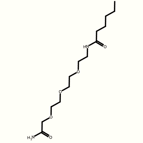 CCCCCC(=O)NCCOCCOCCOCC(N)=O